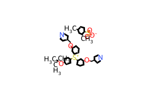 CC(C)(C)Oc1ccc([S+](c2cccc(OCc3ccncc3)c2)c2cccc(OCc3ccncc3)c2)cc1.Cc1ccc(S(=O)(=O)[O-])c(C)c1